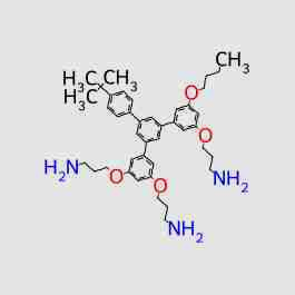 CCCCOc1cc(OCCCN)cc(-c2cc(-c3ccc(C(C)(C)C)cc3)cc(-c3cc(OCCCN)cc(OCCCN)c3)c2)c1